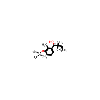 C=CC(C)(C)[C@H](O)c1cccc(O[Si](C)(C)C(C)(C)C)c1C